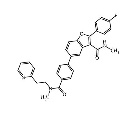 CNC(=O)c1c(-c2ccc(F)cc2)oc2ccc(-c3ccc(C(=O)N(C)CCc4ccccn4)cc3)cc12